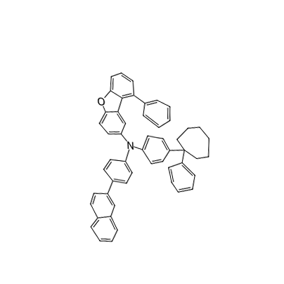 c1ccc(-c2cccc3oc4ccc(N(c5ccc(-c6ccc7ccccc7c6)cc5)c5ccc(C6(c7ccccc7)CCCCCC6)cc5)cc4c23)cc1